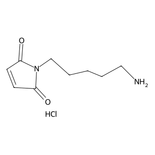 Cl.NCCCCCN1C(=O)C=CC1=O